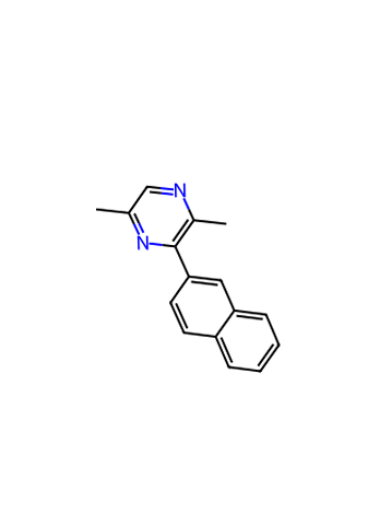 Cc1cnc(C)c(-c2ccc3ccccc3c2)n1